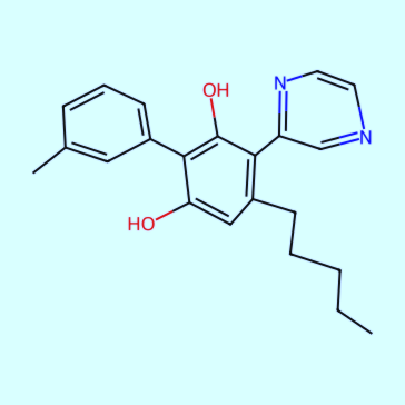 CCCCCc1cc(O)c(-c2cccc(C)c2)c(O)c1-c1cnccn1